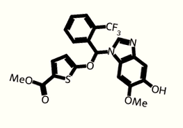 COC(=O)c1ccc(OC(c2ccccc2C(F)(F)F)n2cnc3cc(O)c(OC)cc32)s1